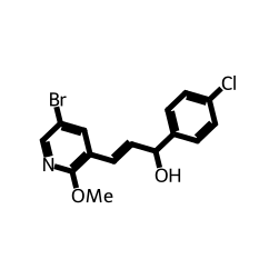 COc1ncc(Br)cc1C=CC(O)c1ccc(Cl)cc1